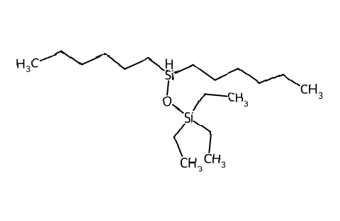 CCCCCC[SiH](CCCCCC)O[Si](CC)(CC)CC